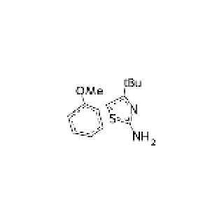 CC(C)(C)c1csc(N)n1.COc1ccccc1